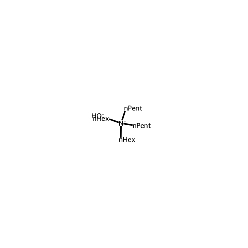 CCCCCC[N+](CCCCC)(CCCCC)CCCCCC.[OH-]